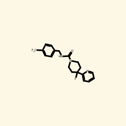 O=C(NCc1ccc(C(F)(F)F)cc1)N1CCC(F)(c2ccccn2)CC1